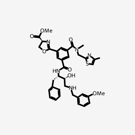 COC(=O)[C@@H]1COC(c2cc(C(=O)N[C@@H](Cc3ccccc3)[C@H](O)CNCc3cccc(OC)c3)cc(C(=O)N(C)Cc3nc(C)cs3)c2)=N1